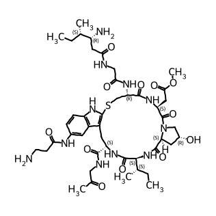 CC[C@H](C)[C@H](N)CC(=O)NCC(=O)N[C@H]1CSc2[nH]c3ccc(NC(=O)CCN)cc3c2C[C@@H](C(=O)NCC(C)=O)NC(=O)[C@H]([C@@H](C)CC)NC(=O)[C@@H]2C[C@@H](O)CN2C(=O)[C@H](CC(=O)OC)NC1=O